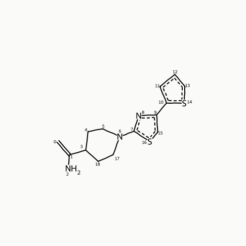 C=C(N)C1CCN(c2nc(-c3cccs3)cs2)CC1